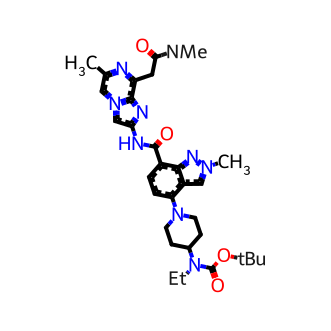 CCN(C(=O)OC(C)(C)C)C1CCN(c2ccc(C(=O)Nc3cn4cc(C)nc(CC(=O)NC)c4n3)c3nn(C)cc23)CC1